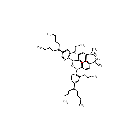 CCCCN(CCCC)c1ccc(C(OC(c2ccc(N(C)C)cc2)c2ccc(N(CCCC)CCCC)cc2OCC)c2ccc(N(C)C)cc2)c(OCC)c1